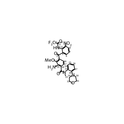 COc1c(C(=O)c2cccc([N+](=O)[O-])c2NC(=O)C(F)(F)F)ccc(C(=O)N(C)c2ccccc2N2CCOCC2)c1N